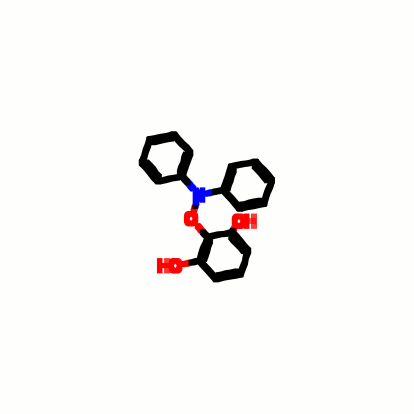 Oc1cccc(O)c1ON(c1ccccc1)c1ccccc1